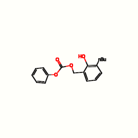 CCCCc1cccc(COC(=O)Oc2ccccc2)c1O